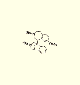 COc1ccc2c(c1)C(C13CC(CN(C(C)(C)C)C1)c1ccccc13)CN(C(C)(C)C)CC2